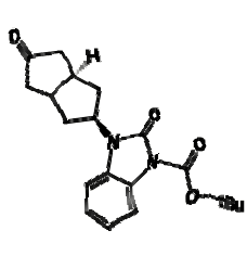 CC(C)(C)OC(=O)n1c(=O)n([C@H]2CC3CC(=O)C[C@H]3C2)c2ccccc21